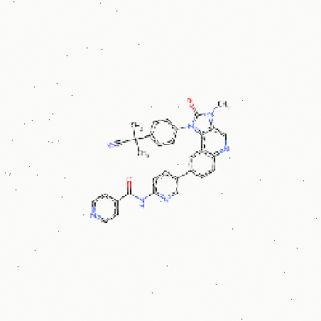 Cn1c(=O)n(-c2ccc(C(C)(C)C#N)cc2)c2c3cc(-c4ccc(NC(=O)c5ccncc5)nc4)ccc3ncc21